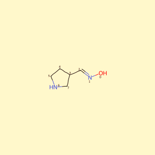 ON=CC1CCNC1